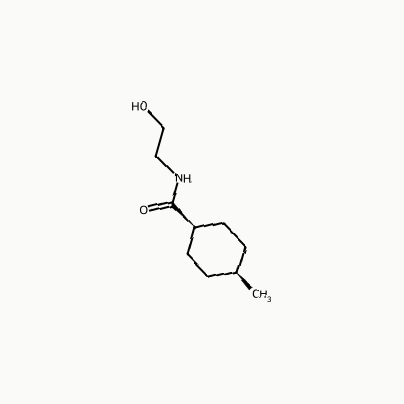 C[C@H]1CC[C@@H](C(=O)NCCO)CC1